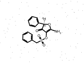 [2H][C@]1(c2ccccc2)OC(N)=C(OS(=O)(=O)Cc2ccccc2)C1=O